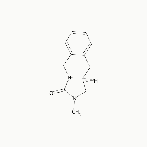 CN1C[C@@H]2Cc3ccccc3CN2C1=O